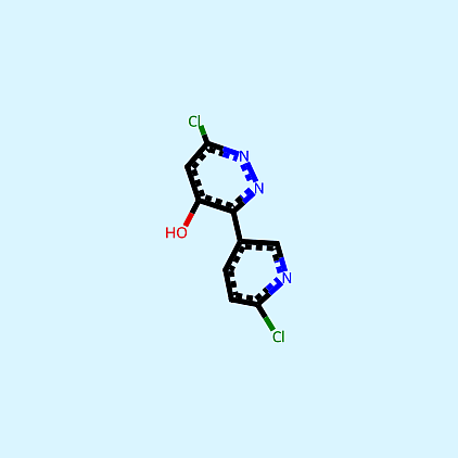 Oc1cc(Cl)nnc1-c1ccc(Cl)nc1